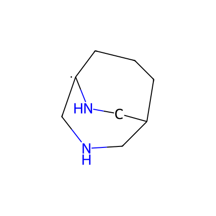 C1C[C]2CNCC(C1)CN2